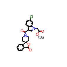 CC(C)(C)OC(=O)Cn1cc(C(=O)N2CCC3(CC2)OC(=O)c2ccccc23)c2ccc(Cl)cc21